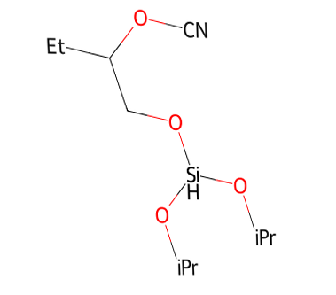 CCC(CO[SiH](OC(C)C)OC(C)C)OC#N